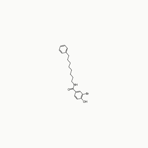 O=C(NCCCCCCCCc1ccccc1)c1ccc(O)c(Br)c1